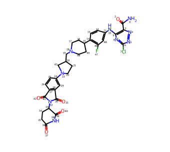 NC(=O)c1nnc(Cl)nc1Nc1ccc(C2CCN(CC3CCN(c4ccc5c(c4)C(=O)N(C4CCC(=O)NC4=O)C5=O)C3)CC2)c(F)c1